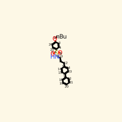 CCCCOc1ccc(S(=O)(=O)NCCCc2ccc(-c3ccccc3)cc2)cc1